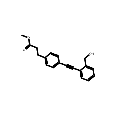 COC(=O)CCc1ccc(C#Cc2ccccc2CO)cc1